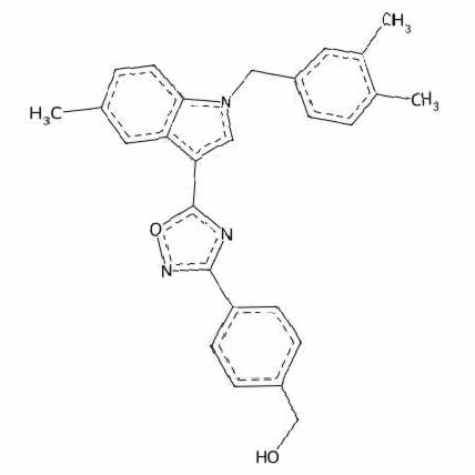 Cc1ccc2c(c1)c(-c1nc(-c3ccc(CO)cc3)no1)cn2Cc1ccc(C)c(C)c1